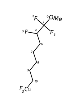 COC(F)(F)C(F)CCCCCC(F)(F)F